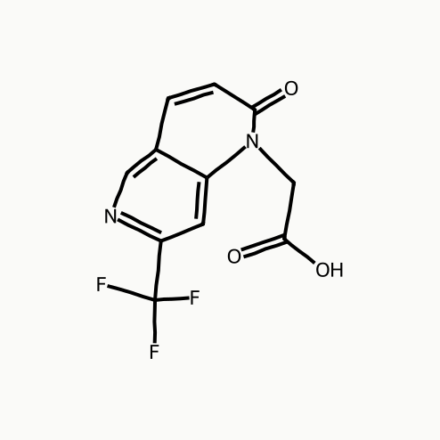 O=C(O)Cn1c(=O)ccc2cnc(C(F)(F)F)cc21